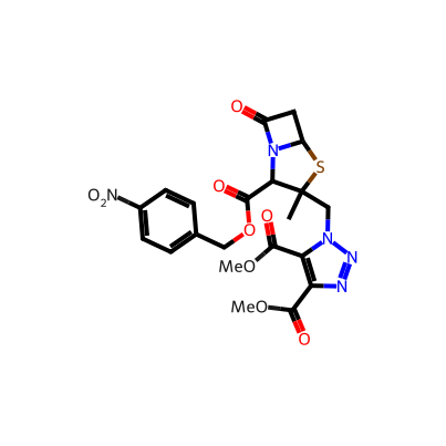 COC(=O)c1nnn(CC2(C)SC3CC(=O)N3C2C(=O)OCc2ccc([N+](=O)[O-])cc2)c1C(=O)OC